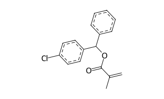 C=C(C)C(=O)OC(c1ccccc1)c1ccc(Cl)cc1